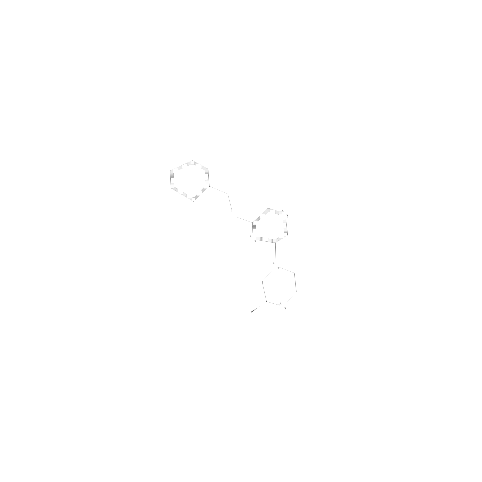 C[C@@H]1CN[C@@H](C)CN1c1cncc(OCc2ccccc2)n1